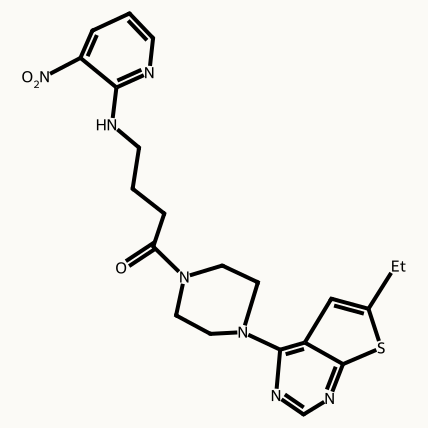 CCc1cc2c(N3CCN(C(=O)CCCNc4ncccc4[N+](=O)[O-])CC3)ncnc2s1